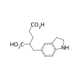 O=C(O)CCC(Cc1ccc2c(c1)CCN2)C(=O)O